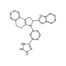 c1cc(C2=NNNN2)cc(N2C3=C(CC2c2cc4ccccc4o2)c2ccccc2CC3)c1